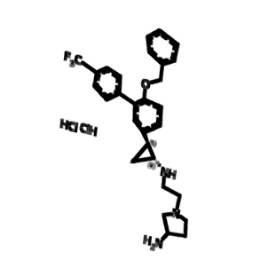 Cl.Cl.NC1CCN(CCN[C@@H]2C[C@H]2c2ccc(OCc3ccccc3)c(-c3ccc(C(F)(F)F)cc3)c2)C1